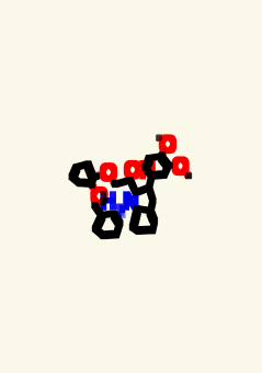 COc1ccc(C(Cc2ccccc2)C(N)C(O)COc2ccccc2OCc2ccccc2)cc1OC